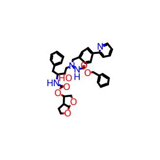 O=C(NN(Cc1ccc(-c2ccccn2)cc1)CC(O)C(Cc1ccccc1)NC(=O)OC1COC2OCCC12)OCc1ccccc1